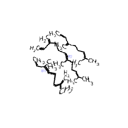 C=C/C(C)=C/CCC(=C)C.C=CC(=C)CC/C=C(\C)CCC=C(C)C.C=CC(=C)CCC=C(C)C